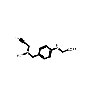 C#CCN(C)Cc1ccc(NCC(=O)OCC)cc1